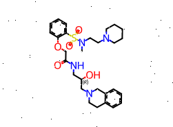 CN(CCN1CCCCC1)S(=O)(=O)c1ccccc1OCC(=O)NC[C@@H](O)CN1CCc2ccccc2C1